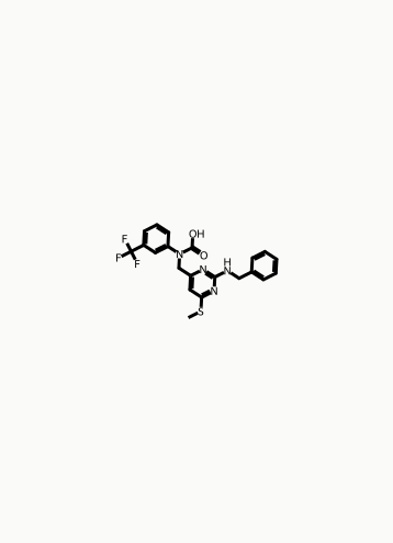 CSc1cc(CN(C(=O)O)c2cccc(C(F)(F)F)c2)nc(NCc2ccccc2)n1